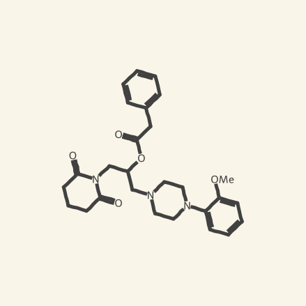 COc1ccccc1N1CCN(CC(CN2C(=O)CCCC2=O)OC(=O)Cc2ccccc2)CC1